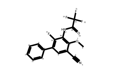 COc1c(C#N)cc(-c2ccccc2)c(F)c1NC(=O)C(F)(F)F